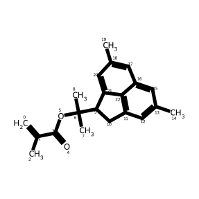 C=C(C)C(=O)OC(C)(C)C1Cc2cc(C)cc3cc(C)cc1c23